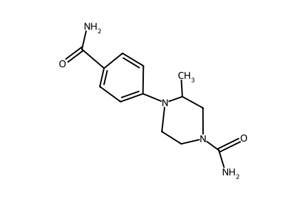 CC1CN(C(N)=O)CCN1c1ccc(C(N)=O)cc1